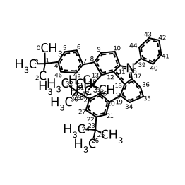 CC(C)(C)c1ccc(-c2ccc3c(c2C(C)(C)C)c2c(-c4cc(C(C)(C)C)cc(C(C)(C)C)c4)cccc2n3-c2ccccc2)cc1